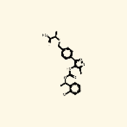 Cc1noc(-c2ccc(CSC(C)C(=O)O)cc2)c1NC(=O)OC(C)c1ccccc1Cl